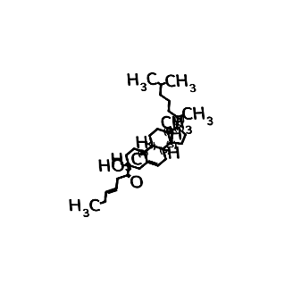 CCC=CCC(=O)C1(O)CC[C@@]2(C)C(=CC[C@H]3[C@@H]4CC[C@H]([C@H](C)CCCC(C)C)[C@@]4(C)CC[C@@H]32)C1